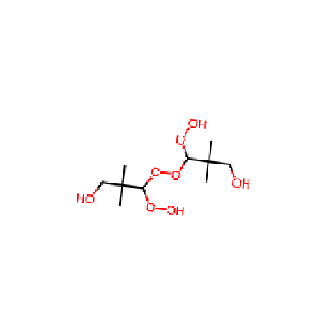 CC(C)(CO)C(OO)OOC(OO)C(C)(C)CO